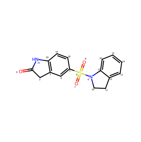 O=C1Cc2cc(S(=O)(=O)N3CCc4ccccc43)ccc2N1